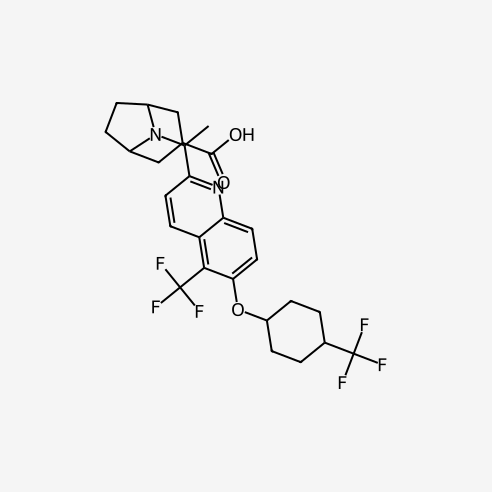 CC(c1ccc2c(C(F)(F)F)c(OC3CCC(C(F)(F)F)CC3)ccc2n1)N1C2CCC1CC(C(=O)O)C2